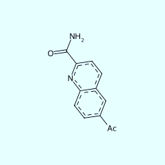 CC(=O)c1ccc2nc(C(N)=O)ccc2c1